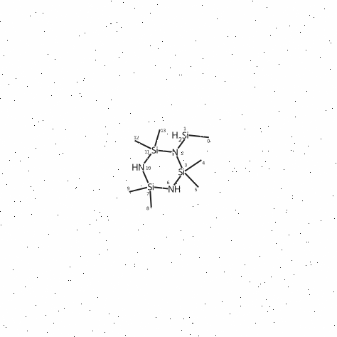 C[SiH2]N1[Si](C)(C)N[Si](C)(C)N[Si]1(C)C